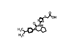 CC(C)c1ccc(N(CC2CCCC2)C(=O)Nc2ncc(SCC(=O)O)s2)cc1